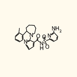 Cc1ccccc1C1CCCCCN1c1ncccc1C(=O)NS(=O)(=O)c1cccc(N)n1